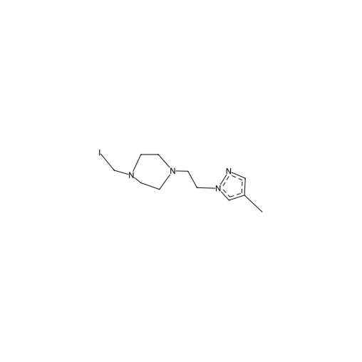 Cc1cnn(CCN2CCN(CI)CC2)c1